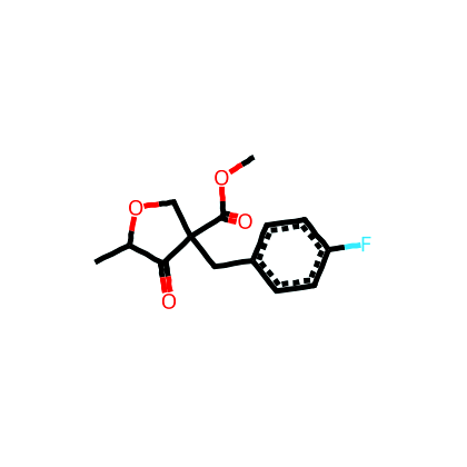 COC(=O)C1(Cc2ccc(F)cc2)COC(C)C1=O